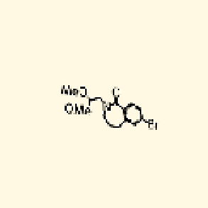 COC(CN1CCCc2cc(Br)ccc2C1=O)OC